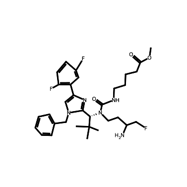 COC(=O)CCCCNC(=O)N(CCC(N)CF)[C@@H](c1nc(-c2cc(F)ccc2F)cn1Cc1ccccc1)C(C)(C)C